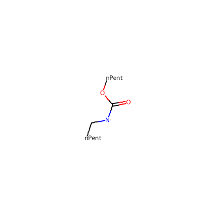 CCCCCC[N]C(=O)OCCCCC